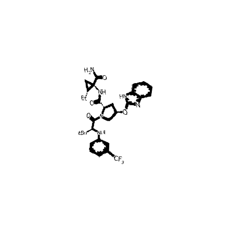 CC[C@@H]1C[C@]1(NC(=O)[C@@H]1C[C@@H](Oc2nc3ccccc3[nH]2)CN1C(=O)[C@@H](Nc1cccc(C(F)(F)F)c1)C(C)(C)C)C(N)=O